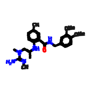 COc1ccc(CNC(=O)c2cc(C#N)ccc2NC(C)CN(C)C(N)=NC#N)cc1OC